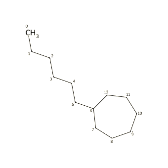 CCCCCCC1CC[CH]CCC1